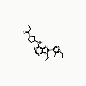 CCC(=O)N1CCC(Nc2ncnc3c2nc(-c2cnn(CC)c2C)n3CC)C1